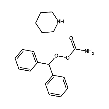 C1CCNCC1.NC(=O)OOC(c1ccccc1)c1ccccc1